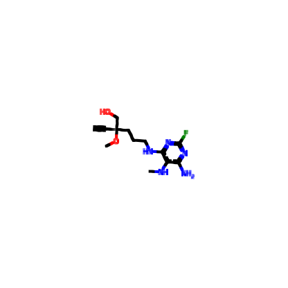 C#C[C@@](CO)(CCCNc1nc(F)nc(N)c1NC)OC